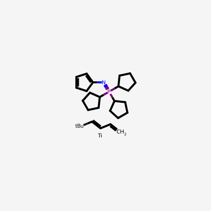 C1=CCC(N=P(C2CCCC2)(C2CCCC2)C2CCCC2)=C1.C=CC=CC(C)(C)C.[Ti]